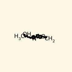 C=CCOc1ccc2cc(-c3ccc(C=CCCCC(C)O)cn3)ccc2c1